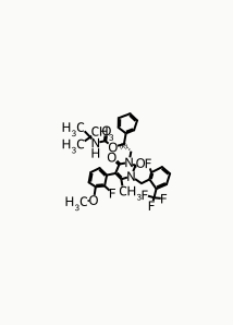 COc1cccc(-c2c(C)n(Cc3c(F)cccc3C(F)(F)F)c(=O)n(C[C@H](OC(=O)NC(C)(C)C)c3ccccc3)c2=O)c1F